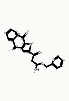 O=C(CC(O)OCc1ccccn1)c1cc2c(o1)C(=O)c1ccccc1C2=O